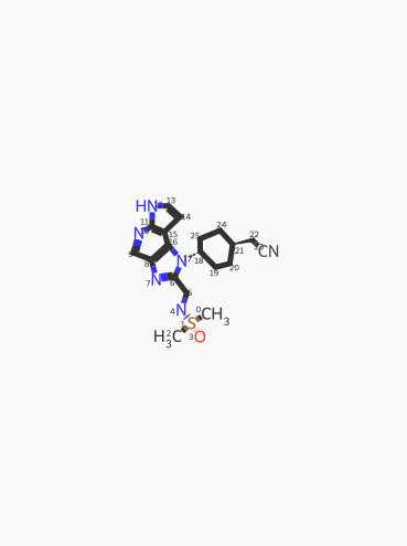 CS(C)(=O)=NCc1nc2cnc3[nH]ccc3c2n1[C@H]1CC[C@H](CC#N)CC1